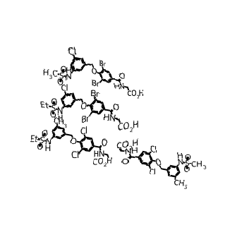 CCS(=O)(=O)Nc1cc(C)cc(COc2c(Cl)cc(C(=O)NCC(=O)O)cc2Cl)c1.CCS(=O)(=O)Nc1cc(Cl)cc(COc2c(Br)cc(C(=O)NCC(=O)O)cc2Br)c1.CS(=O)(=O)Nc1cc(Cl)cc(COc2c(Br)cc(C(=O)NCC(=O)O)cc2Br)c1.Cc1cc(COc2c(Cl)cc(C(=O)NCC(=O)O)cc2Cl)cc(NS(C)(=O)=O)c1